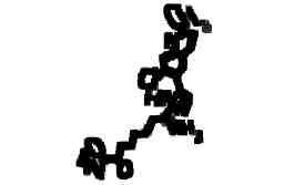 Cc1ccc2cc(-c3cnc([C@@H](N)CCCCCC(=O)c4ncco4)[nH]3)c(Cl)cc2n1